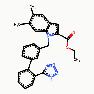 CCOC(=O)c1cc2cc(C)c(C)cc2n1Cc1cccc(-c2ccccc2-c2nnn[nH]2)c1